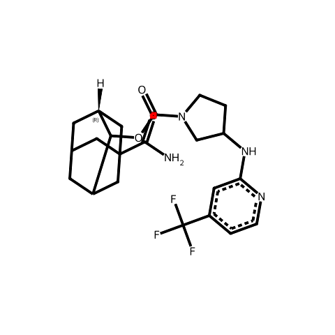 NC(=O)C12CC3CC(C1)C(OC(=O)N1CCC(Nc4cc(C(F)(F)F)ccn4)C1)[C@H](C3)C2